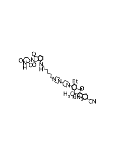 CCc1cc2c(cc1N1CCC(N3CCN(CCCCCCNc4cccc5c4C(=O)N(C4CCC(=O)NC4=O)C5=O)CC3)CC1)C(C)(C)c1[nH]c3cc(C#N)ccc3c1C2=O